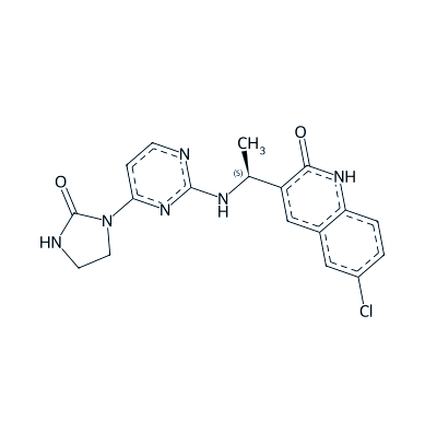 C[C@H](Nc1nccc(N2CCNC2=O)n1)c1cc2cc(Cl)ccc2[nH]c1=O